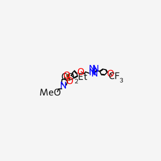 CCOC(=O)C1(S(=O)(=O)c2ccc(OCCCn3nnc(-c4ccc(OC(F)(F)F)cc4)n3)cc2)CCN(CCOC)CC1